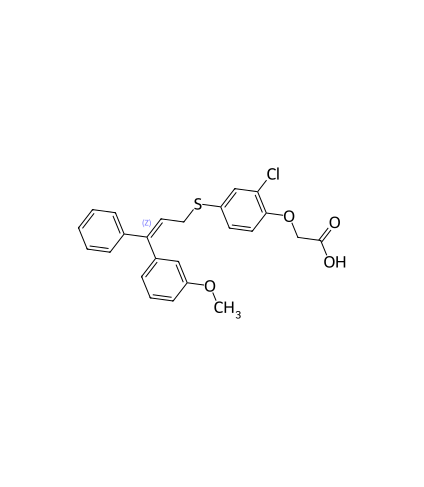 COc1cccc(/C(=C\CSc2ccc(OCC(=O)O)c(Cl)c2)c2ccccc2)c1